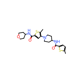 Cc1ccc(C(=O)NC2CCN(c3cc(C(=O)NC4CCOCC4)sc3C)CC2)s1